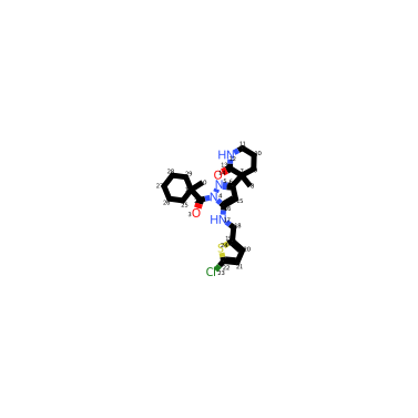 CC1(C(=O)n2nc(C3(C)CCCNC3=O)cc2NCc2ccc(Cl)s2)CCCCC1